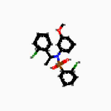 COc1cccc(N(C(C)c2ccccc2F)S(=O)(=O)c2ccccc2F)c1